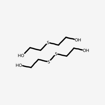 OCCSCCO.OCCSSCCO